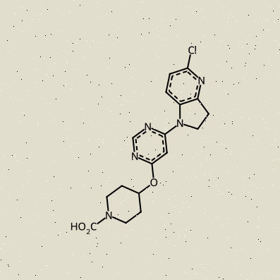 O=C(O)N1CCC(Oc2cc(N3CCc4nc(Cl)ccc43)ncn2)CC1